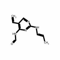 C=Cc1cnc(N/C=C/C)nc1NC=O